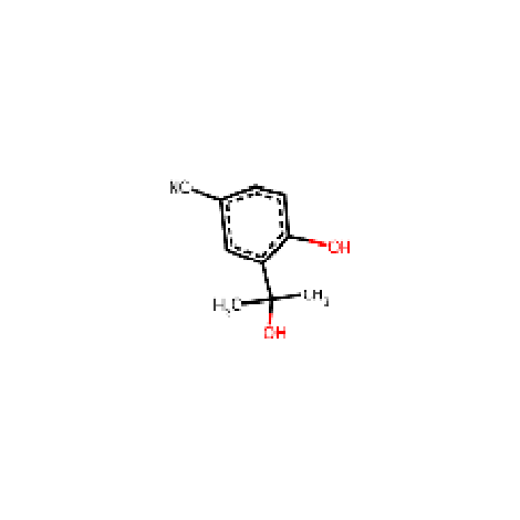 CC(C)(O)c1cc(C#N)ccc1O